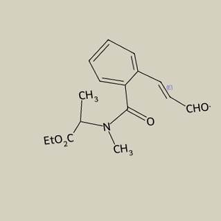 CCOC(=O)C(C)N(C)C(=O)c1ccccc1/C=C/[C]=O